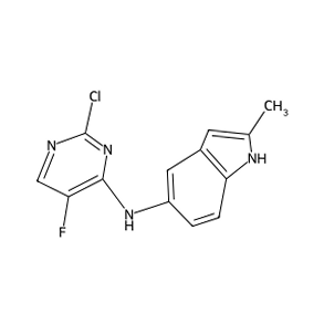 Cc1cc2cc(Nc3nc(Cl)ncc3F)ccc2[nH]1